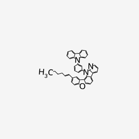 CCCC/C=C/c1ccc2oc3ccc4c5cccnc5n(-c5cccc(-n6c7ccccc7c7ccccc76)c5)c4c3c2c1